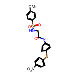 COc1ccc(S(=O)(=O)NCC(=O)Nc2ccc(Sc3ccc([N+](=O)[O-])cc3)cc2)cc1